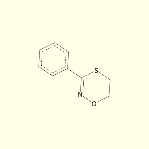 c1ccc(C2=NOCCS2)cc1